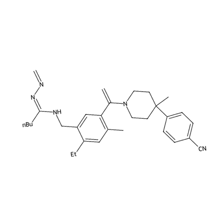 C=N/N=C(/CCCC)NCc1cc(C(=C)N2CCC(C)(c3ccc(C#N)cc3)CC2)c(C)cc1CC